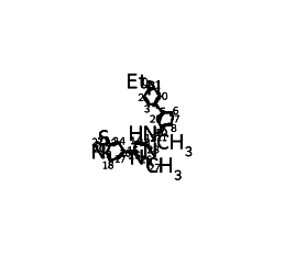 CCc1ccc(-c2cccc(C(C)Nc3cc(-c4ccc5ncsc5c4)nc(C)n3)c2)cn1